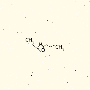 CCCCc1coc(CCCC)n1